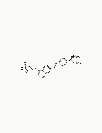 CCCCCCN(CCCCCC)c1ccc(/C=C/c2ccc3c(ccc[n+]3CCCS(=O)(=O)[O-])c2)cc1